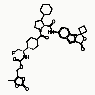 Cc1oc(=O)oc1COC(=O)N[C@H](CF)[C@H]1CC[C@H](C(=O)N2CCC(C3CCCCC3)[C@H]2C(=O)Nc2ccc3c(c2)cc2n3C3(CCC3)OC2=O)CC1